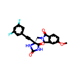 COc1ccc2c(c1)CN(C[C@@]1(C#Cc3cc(F)cc(F)c3)NC(=O)NC1=O)C2=O